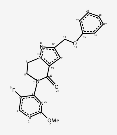 COc1ncc(F)c(N2CCn3nc(COc4ccccc4)cc3C2=O)n1